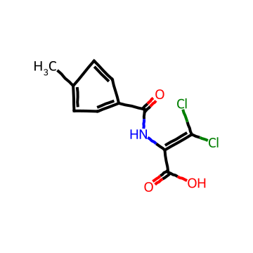 Cc1ccc(C(=O)NC(C(=O)O)=C(Cl)Cl)cc1